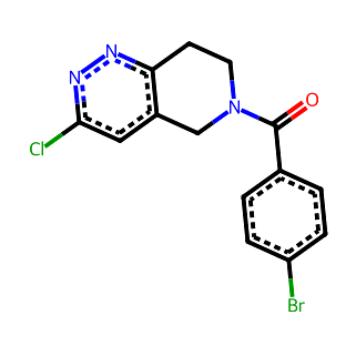 O=C(c1ccc(Br)cc1)N1CCc2nnc(Cl)cc2C1